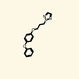 c1ccc(Oc2ccc(OCCCn3nccn3)cc2)cc1